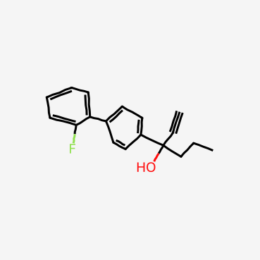 C#CC(O)(CCC)c1ccc(-c2ccccc2F)cc1